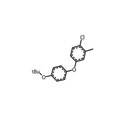 Cc1cc(Oc2ccc(OC(C)(C)C)cc2)ccc1Cl